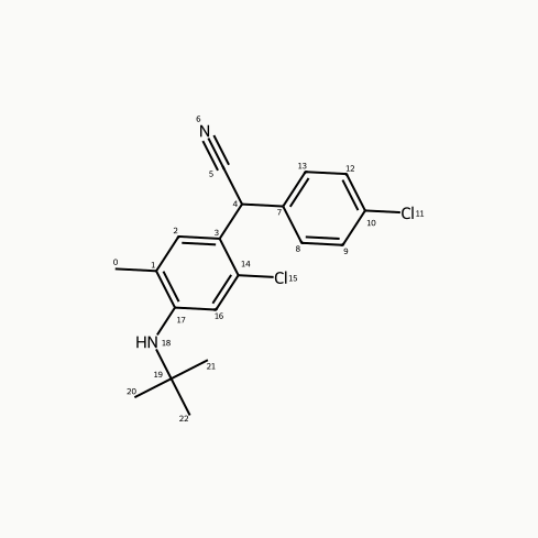 Cc1cc(C(C#N)c2ccc(Cl)cc2)c(Cl)cc1NC(C)(C)C